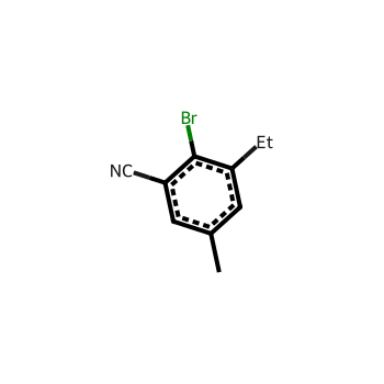 CCc1cc(C)cc(C#N)c1Br